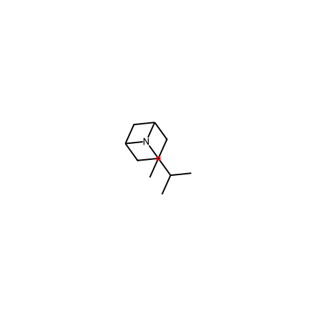 CCN1C2CC(C(C)C)CC1C2